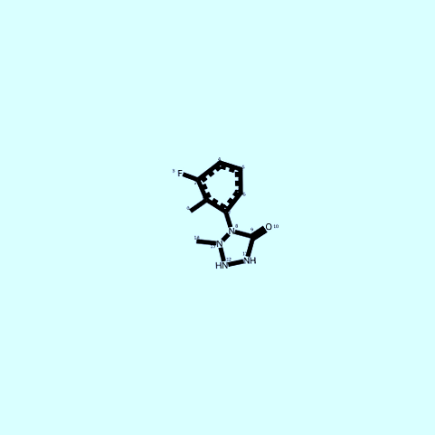 Cc1c(F)cccc1N1C(=O)NNN1C